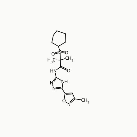 Cc1cc(-c2nnc(NC(=O)C(C)(C)S(=O)(=O)C3CCCCC3)[nH]2)on1